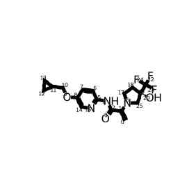 C=C(C(=O)Nc1ccc(OCC2CC2)cn1)N1CC[C@@](O)(C(F)(F)F)C1